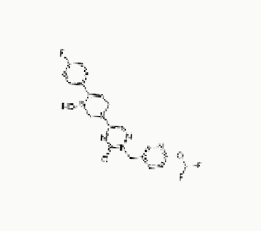 O=c1nc(N2CC=C(c3ccc(F)cc3)[C@@H](O)C2)cnn1Cc1ccc(OC(F)F)nc1